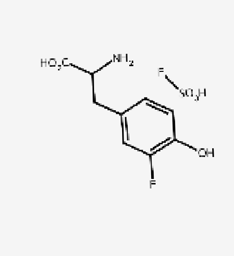 NC(Cc1ccc(O)c(F)c1)C(=O)O.O=S(=O)(O)F